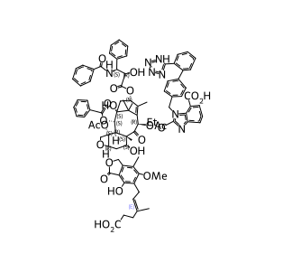 CC(=O)O[C@H]1C(=O)[C@@]2(C)[C@H]([C@H](OC(=O)c3ccccc3)[C@]3(O)C[C@H](OC(=O)[C@H](O)[C@@H](NC(=O)c4ccccc4)c4ccccc4)C(C)=C1C3(C)C)[C@]1(OC(C)=O)CO[C@@H]1C[C@@H]2O.CCOc1nc2cccc(C(=O)O)c2n1Cc1ccc(-c2ccccc2-c2nnn[nH]2)cc1.COc1c(C)c2c(c(O)c1C/C=C(\C)CCC(=O)O)C(=O)OC2